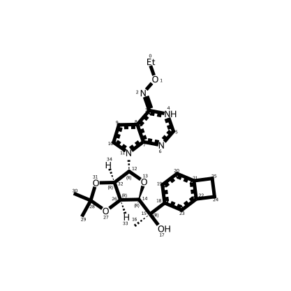 CCON=c1[nH]cnc2c1ccn2[C@@H]1O[C@@H]([C@](C)(O)c2ccc3c(c2)CC3)[C@H]2OC(C)(C)O[C@H]21